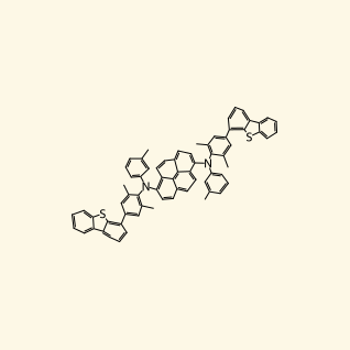 Cc1cccc(N(c2c(C)cc(-c3cccc4c3sc3ccccc34)cc2C)c2ccc3ccc4c(N(c5cccc(C)c5)c5c(C)cc(-c6cccc7c6sc6ccccc67)cc5C)ccc5ccc2c3c54)c1